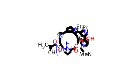 CCn1c(-c2cc(C3(O)CCN(CCNC)CC3)cnc2C(C)C)c2c3cc(ccc31)-c1csc(n1)C[C@H](NC(=O)C1[C@@H](C)[C@H]1C)C(=O)N1CCC[C@H](N1)C(=O)OCC(C)(C)C2